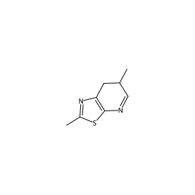 Cc1nc2c(s1)N=CC(C)C2